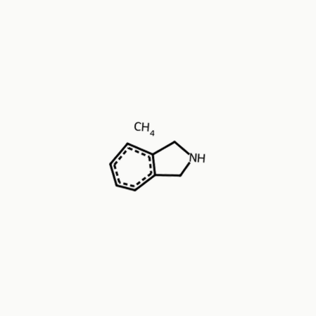 C.c1ccc2c(c1)CNC2